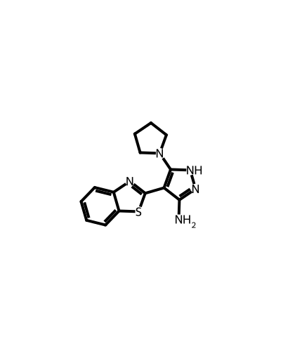 Nc1n[nH]c(N2CCCC2)c1-c1nc2ccccc2s1